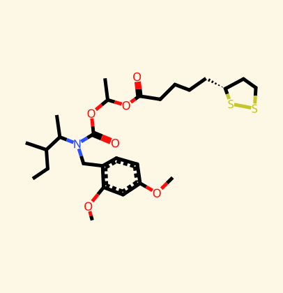 CCC(C)C(C)N(Cc1ccc(OC)cc1OC)C(=O)OC(C)OC(=O)CCCC[C@@H]1CCSS1